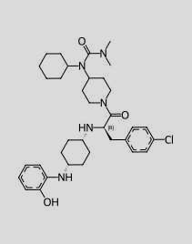 CN(C)C(=O)N(C1CCCCC1)C1CCN(C(=O)[C@@H](Cc2ccc(Cl)cc2)N[C@H]2CC[C@@H](Nc3ccccc3O)CC2)CC1